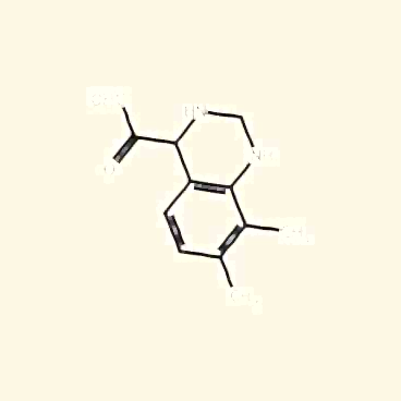 Cc1ccc2c(c1C)NCNC2C(=O)C=O